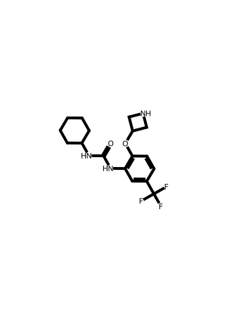 O=C(Nc1cc(C(F)(F)F)ccc1OC1CNC1)NC1CCCCC1